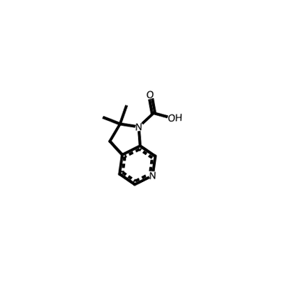 CC1(C)Cc2ccncc2N1C(=O)O